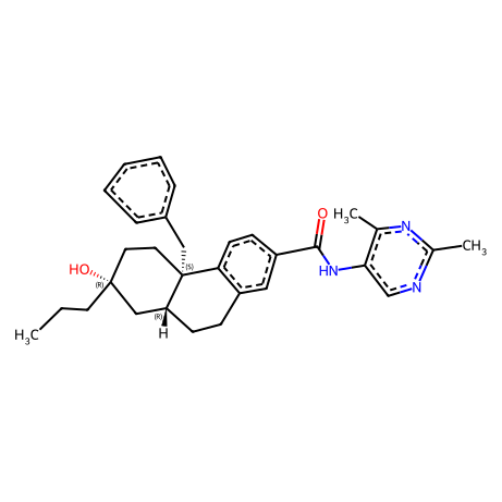 CCC[C@@]1(O)CC[C@@]2(Cc3ccccc3)c3ccc(C(=O)Nc4cnc(C)nc4C)cc3CC[C@@H]2C1